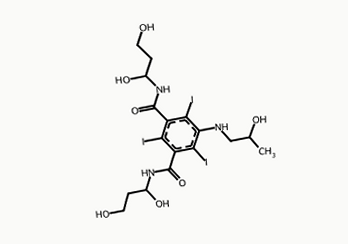 CC(O)CNc1c(I)c(C(=O)NC(O)CCO)c(I)c(C(=O)NC(O)CCO)c1I